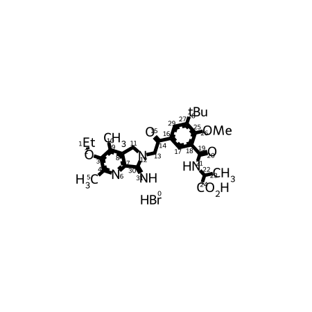 Br.CCOc1c(C)nc2c(c1C)CN(CC(=O)c1cc(C(=O)NC(C)C(=O)O)c(OC)c(C(C)(C)C)c1)C2=N